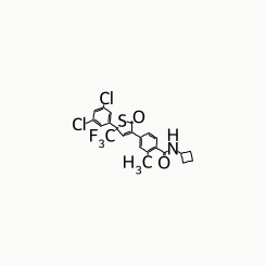 Cc1cc(C2=CC(c3cc(Cl)cc(Cl)c3)(C(F)(F)F)SC2=O)ccc1C(=O)NC1CCC1